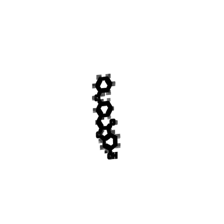 O=C1C(=Cc2cccc(Oc3ccccc3)c2)Oc2cc(O)ccc21